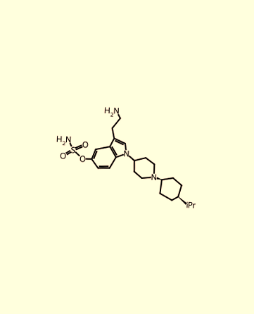 CC(C)[C@H]1CC[C@@H](N2CCC(n3cc(CCN)c4cc(OS(N)(=O)=O)ccc43)CC2)CC1